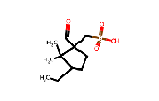 CCC1CCC(C=O)(CS(=O)(=O)O)C1(C)C